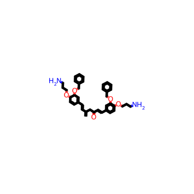 C=C(/C=C/C1=CC(OCc2ccccc2)C(OCCCN)C=C1)CC(=O)/C=C/c1ccc(OCCCN)c(OCc2ccccc2)c1